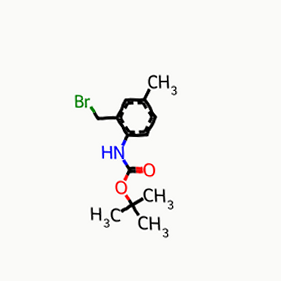 Cc1ccc(NC(=O)OC(C)(C)C)c(CBr)c1